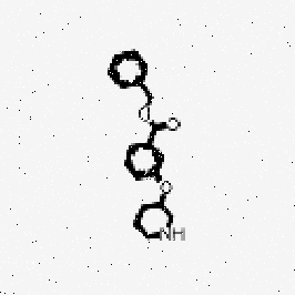 O=C(OCc1ccccc1)c1cccc(OC2CCCNC2)c1